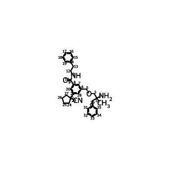 CC(N)(COCc1cc(C(=O)NCCc2ccccc2)cc(C2(C#N)CCCC2)c1)Cc1ccccc1